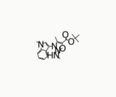 CNN1OC(C(=O)OC(C)(C)C)=C(C)N1c1cn(C)c2ccccc12